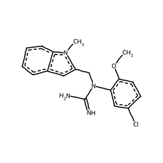 COc1ccc(Cl)cc1N(Cc1cc2ccccc2n1C)C(=N)N